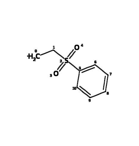 [CH2]CS(=O)(=O)c1ccccc1